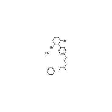 CC#N.CN(CCCc1ccc(C2C(Br)CCCC2Br)cc1)CCc1ccccc1